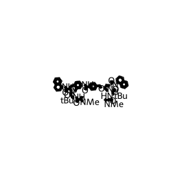 CNC(C)C(=O)NC(C(=O)N1Cc2cc(NC(=O)c3ccc(CO[C@H]4C[C@@H](C(=O)N[C@@H]5CCCc6ccccc65)N(C(=O)C(NC(=O)C(C)NC)C(C)(C)C)C4)cc3)ccc2CC1C(=O)N[C@@H]1CCCc2ccccc21)C(C)(C)C